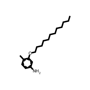 CCCCCCCCCCCCOc1cc(N)ccc1C